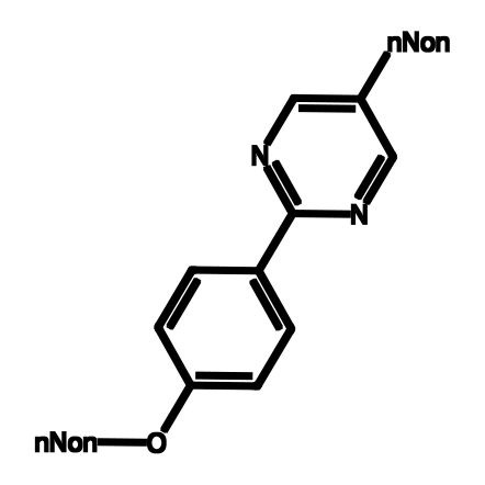 CCCCCCCCCOc1ccc(-c2ncc(CCCCCCCCC)cn2)cc1